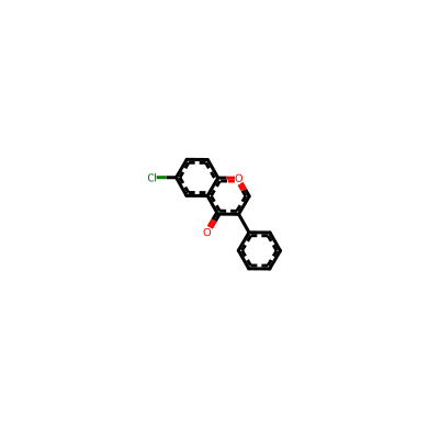 O=c1c(-c2ccccc2)coc2ccc(Cl)cc12